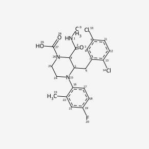 CNC(=O)C1C(Cc2cc(Cl)ccc2Cl)N(c2ccc(F)cc2C)CCN1C(=O)O